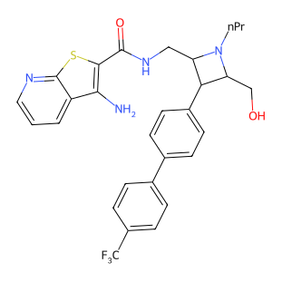 CCCN1C(CO)C(c2ccc(-c3ccc(C(F)(F)F)cc3)cc2)C1CNC(=O)c1sc2ncccc2c1N